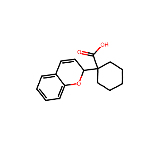 O=C(O)C1(C2C=Cc3ccccc3O2)CCCCC1